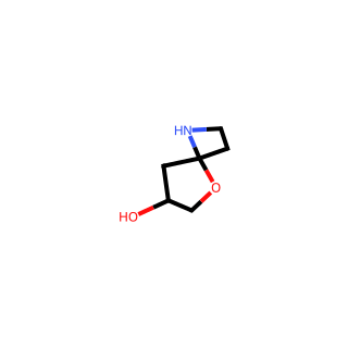 OC1COC2(CCN2)C1